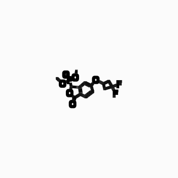 COP(=O)(OC)C1OC(=O)c2ccc(OC3CC(F)(F)C3)cc21